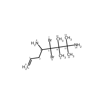 C=CCC(N)C(Br)(Br)C(C)(C)C(C)(C)N